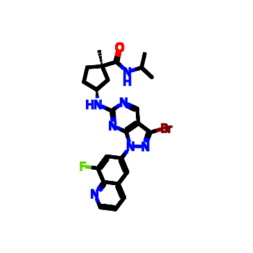 CC(C)NC(=O)[C@]1(C)CC[C@@H](Nc2ncc3c(Br)nn(-c4cc(F)c5ncccc5c4)c3n2)C1